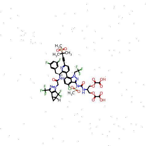 CC(C)(C#Cc1ccc(-c2ccc(Cl)c3c(N(C(=O)NC(COC(=O)C(=O)O)COC(=O)C(=O)O)S(C)(=O)=O)nn(CC(F)(F)F)c23)c([C@H](Cc2cc(F)cc(F)c2)NC(=O)Cn2nc(C(F)(F)F)c3c2C(F)(F)[C@@H]2CC32)n1)S(C)(=O)=O